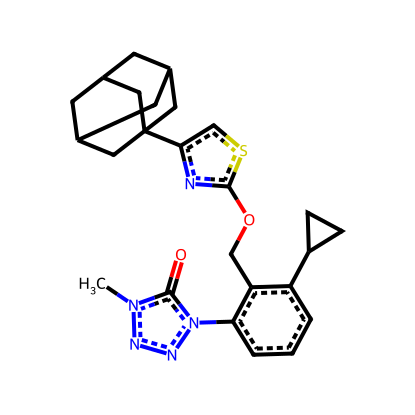 Cn1nnn(-c2cccc(C3CC3)c2COc2nc(C34CC5CC(CC(C5)C3)C4)cs2)c1=O